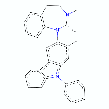 Cc1cc2c(cc1N1c3ccccc3CCN(C)[C@@H]1C)c1ccccc1n2-c1ccccc1